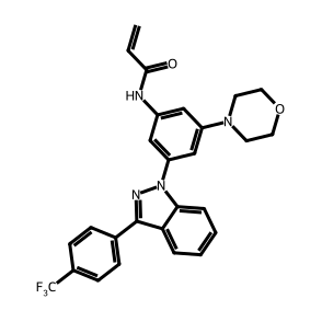 C=CC(=O)Nc1cc(N2CCOCC2)cc(-n2nc(-c3ccc(C(F)(F)F)cc3)c3ccccc32)c1